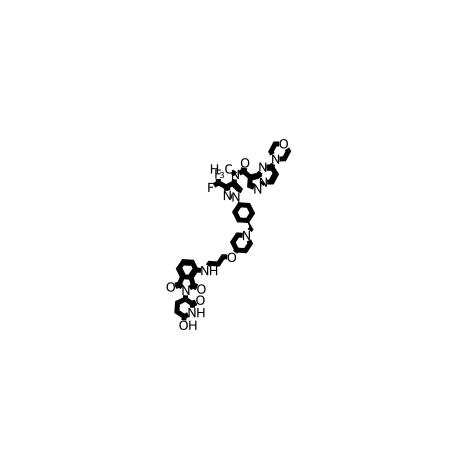 CN(C(=O)c1cnn2ccc(N3CCOCC3)nc12)c1cn([C@H]2CC[C@H](CN3CCC(OCCCNc4cccc5c4C(=O)N(C4CCC(O)NC4=O)C5=O)CC3)CC2)nc1C(F)F